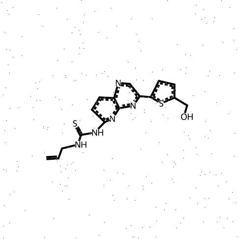 C=CCNC(=S)Nc1ccc2ncc(-c3ccc(CO)s3)nc2n1